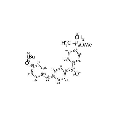 COC(C)(C)c1ccc([S+]([O-])c2ccc(Oc3ccc(OC(C)(C)C)cc3)cc2)cc1